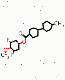 CC1CCC(C2CCC(C(=O)OC3CC(F)C(OC(F)(F)F)C(F)C3)CC2)CC1